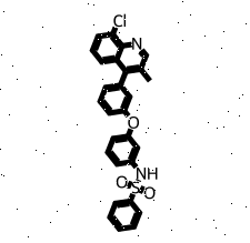 Cc1cnc2c(Cl)cccc2c1-c1cccc(Oc2cccc(NS(=O)(=O)c3ccccc3)c2)c1